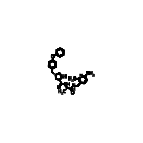 Cc1nc(N)ccc1CNC(=O)[C@H](C)NC(=O)[C@H]1C[C@H](Cc2ccc(Oc3ccccc3)cc2)CN1